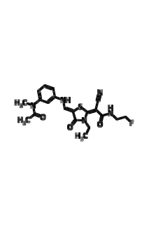 CCn1c(=C(C#N)C(=O)NCCF)sc(=CNc2cccc(N(C)C(C)=O)c2)c1=O